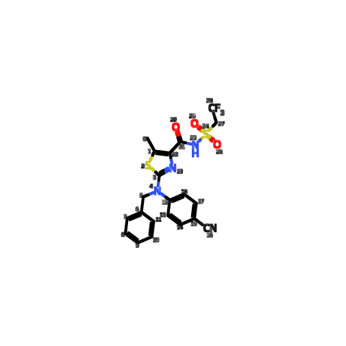 Cc1sc(N(Cc2ccccc2)c2ccc(C#N)cc2)nc1C(=O)NS(=O)(=O)CC(F)(F)F